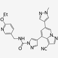 CCOc1ccc(CNC(=O)n2cc(-c3cc(-c4cnn(C)c4)cn4ncc(C#N)c34)cn2)cn1